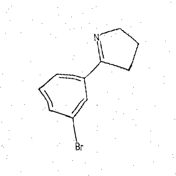 Brc1cccc(C2=NCCC2)c1